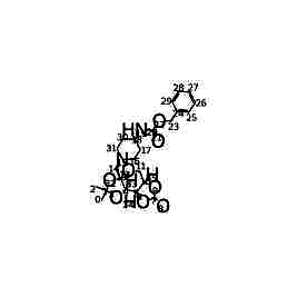 CC1(C)O[C@H]2[C@@H]3OC(=O)O[C@@H]3CO[C@@]2(CN2CCC(NC(=O)OCc3ccccc3)CC2)O1